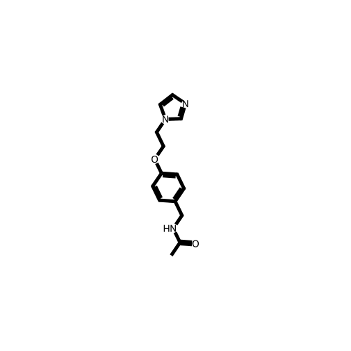 CC(=O)NCc1ccc(OCCn2ccnc2)cc1